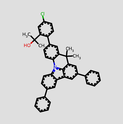 CC(C)(O)c1cc(Cl)ccc1-c1ccc2c(c1)C(C)(C)c1cc(-c3ccccc3)cc3c4cc(-c5ccccc5)ccc4n-2c13